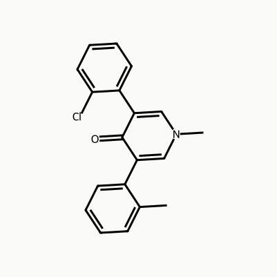 Cc1ccccc1-c1cn(C)cc(-c2ccccc2Cl)c1=O